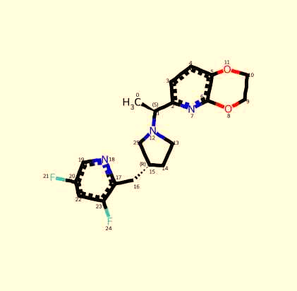 C[C@@H](c1ccc2c(n1)OCCO2)N1CC[C@H](Cc2ncc(F)cc2F)C1